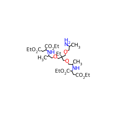 CCOC(=O)CC(NC(C)COCC(CC)(COCC(C)N)COCC(C)NC(CC(=O)OCC)C(=O)OCC)C(=O)OCC